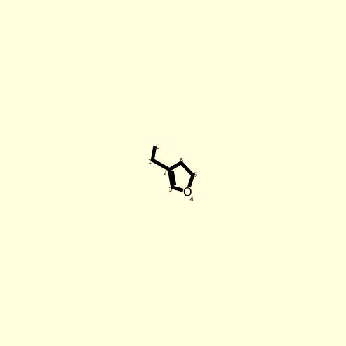 CCC1=COCC1